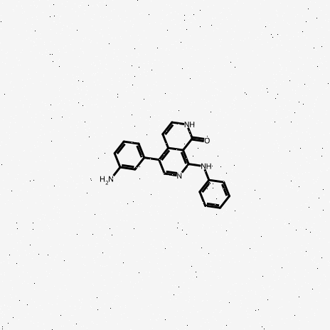 Nc1cccc(-c2cnc(Nc3ccccc3)c3c(=O)[nH]ccc23)c1